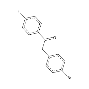 O=C(Cc1ccc(Br)cc1)c1ccc(F)cc1